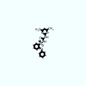 Cc1cc(C)nc(NC(=O)NS(=O)(=O)c2ccccc2Oc2ccccc2)n1